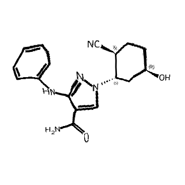 N#C[C@H]1CC[C@@H](O)C[C@@H]1n1cc(C(N)=O)c(Nc2ccccc2)n1